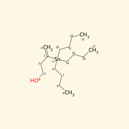 C=[C](CCO)[Sn]([CH2]CCC)([CH2]CCC)[CH2]CCC